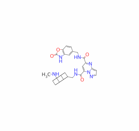 CNC12C3C4C1C1C2C3C41CNC(=O)c1cc(C(=O)NCc2ccc3oc(=O)[nH]c3c2)nc2ccnn12